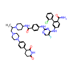 CC(CN1CCN(c2ccc(C3CCC(=O)NC3=O)cc2)CC1)N1CCC(NC(=O)c2ccc(Nc3ncc(F)c(Nc4ccc(C(N)=O)c(-c5ccccc5Cl)c4)n3)cc2)CC1